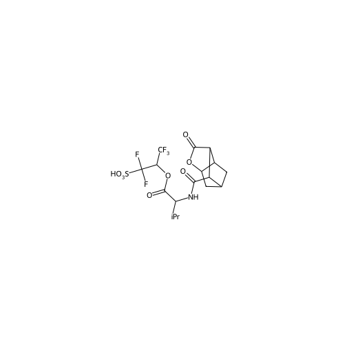 CC(C)C(NC(=O)C1C2CC3OC(=O)C1C3C2)C(=O)OC(C(F)(F)F)C(F)(F)S(=O)(=O)O